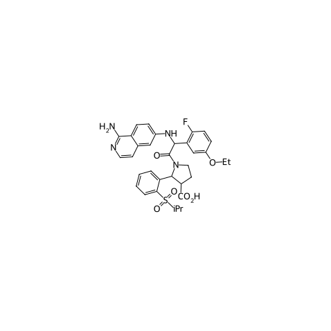 CCOc1ccc(F)c(C(Nc2ccc3c(N)nccc3c2)C(=O)N2CCC(C(=O)O)C2c2ccccc2S(=O)(=O)C(C)C)c1